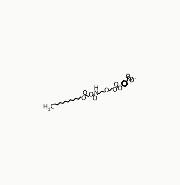 CCCCCCCCCCCCOC(=O)COC(=O)NCCCOCCOC(=O)Oc1ccc([N+](=O)[O-])cc1